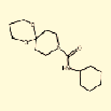 O=C(NC1CCCCC1)N1CCC2(CC1)OCCCO2